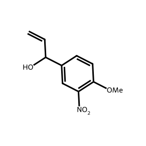 C=CC(O)c1ccc(OC)c([N+](=O)[O-])c1